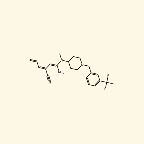 C=C/C=C(C#N)\C=C(/N)N(C)C1CCN(Cc2cccc(C(F)(F)F)c2)CC1